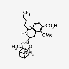 COc1c(CC(NC(=O)CCCC(F)(F)F)B2OC3CC4CC(C4(C)C)C3(C)O2)cccc1C(=O)O